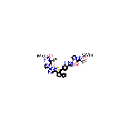 COC(=O)N[C@H](C(=O)N1CCC[C@H]1c1ncc(-c2ccc(-c3sc(-c4cnc([C@@H]5CCCN5C(=O)[C@@H](NC(=O)OC)C(C)C)[nH]4)c4c3C3(CCCC3)CC4)cc2)[nH]1)C(C)C